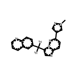 [2H]C([2H])(c1ccc2ncccc2c1)c1cnc2ccc(-c3cnn(C)c3)nn12